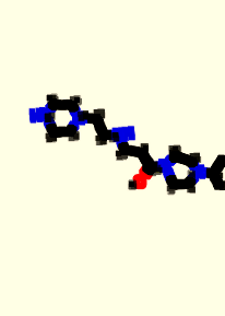 CC(C)N1CCN(C(=O)CCNCCN2CCNCC2)CC1